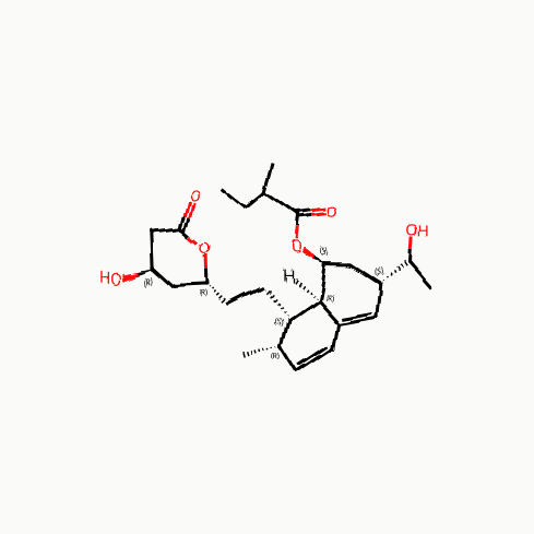 CCC(C)C(=O)O[C@H]1C[C@H](C(C)O)C=C2C=C[C@H](C)[C@H](CC[C@@H]3C[C@@H](O)CC(=O)O3)[C@H]21